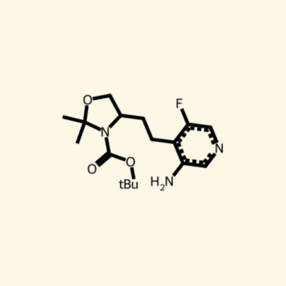 CC(C)(C)OC(=O)N1C(CCc2c(N)cncc2F)COC1(C)C